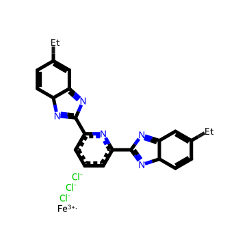 CCC1=CC2=NC(c3cccc(C4=NC5C=CC(CC)=CC5=N4)n3)=NC2C=C1.[Cl-].[Cl-].[Cl-].[Fe+3]